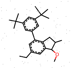 CCc1cc(-c2cc(C(C)(C)C)cc(C(C)(C)C)c2)c2c(c1)C(OC)C(C)C2